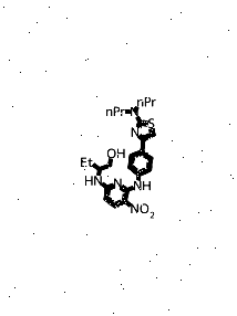 CCCN(CCC)c1nc(-c2ccc(Nc3nc(NC(CC)CO)ccc3[N+](=O)[O-])cc2)cs1